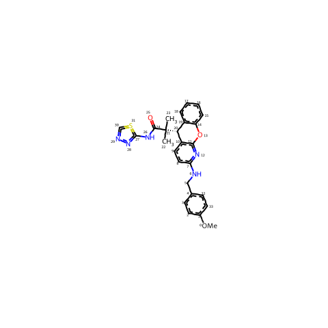 COc1ccc(CNc2ccc3c(n2)Oc2ccccc2[C@H]3C(C)(C)C(=O)Nc2nncs2)cc1